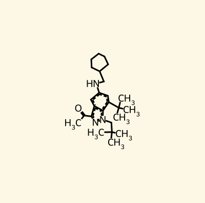 CC(=O)c1nn(CC(C)(C)C)c2c(C(C)(C)C)cc(NCC3CCCCC3)cc12